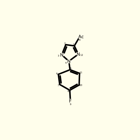 CC(=O)c1cnn(-c2ccc(F)cc2)n1